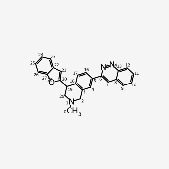 CN1Cc2cc(-c3cc4ccccc4nn3)ccc2C(c2cc3ccccc3o2)C1